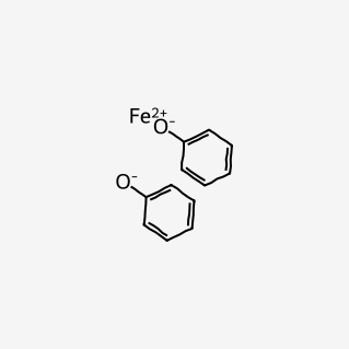 [Fe+2].[O-]c1ccccc1.[O-]c1ccccc1